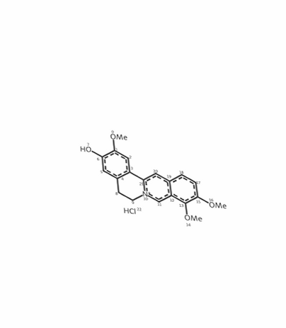 COc1cc2c(cc1O)CC[n+]1cc3c(OC)c(OC)ccc3cc1-2.Cl